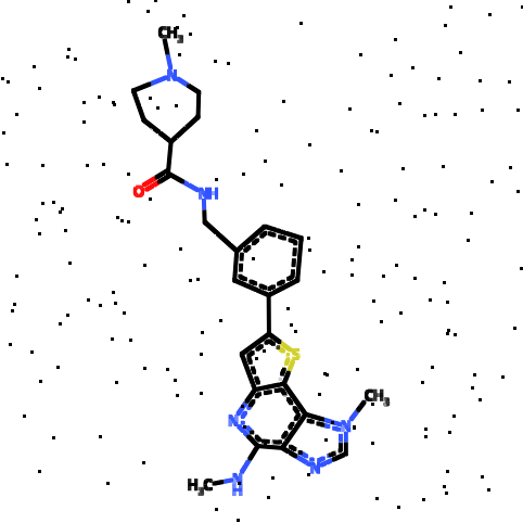 CNc1nc2cc(-c3cccc(CNC(=O)C4CCN(C)CC4)c3)sc2c2c1ncn2C